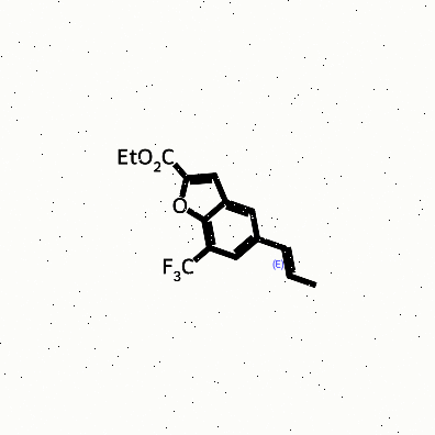 C/C=C/c1cc(C(F)(F)F)c2oc(C(=O)OCC)cc2c1